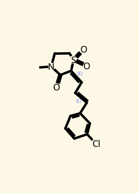 CN1CCS(=O)(=O)/C(=C/C=C/c2cccc(Cl)c2)C1=O